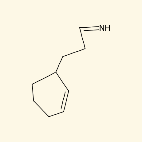 N=CCCC1C=CCCC1